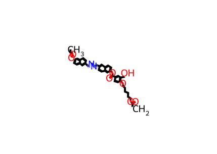 C=CC(=O)OCCCCCCOc1ccc(C(=O)Oc2ccc3cc(/C=N/N=C/c4ccc5cc(OOCC)ccc5c4)ccc3c2)cc1CO